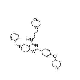 CN1CCC(Oc2ccc(-c3nc4c(c(NCCCN5CCOCC5)n3)CN(Cc3ccccc3)CC4)cc2)CC1